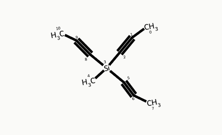 CC#C[Si](C)(C#CC)C#CC